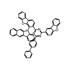 c1ccc(-c2ccc(-c3nc(-c4ccc5oc6ccccc6c5c4)nc(-c4ccc5c(oc6ccccc65)c4-n4c5ccccc5c5cc6ccccc6cc54)n3)cc2)cc1